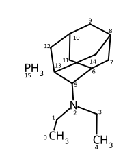 CCN(CC)C1C2CC3CC(C2)CC1C3.P